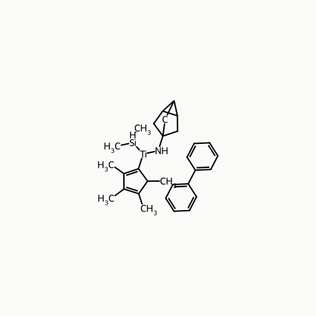 CC1=C(C)C(C)[C]([Ti]([NH]C23CC4C(C2)C4C3)[SiH](C)C)=C1C.c1ccc(-c2ccccc2)cc1